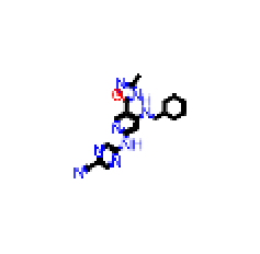 Cc1noc(-c2cnc(Nc3cnc(C#N)cn3)cc2NCC2CCCCC2)n1